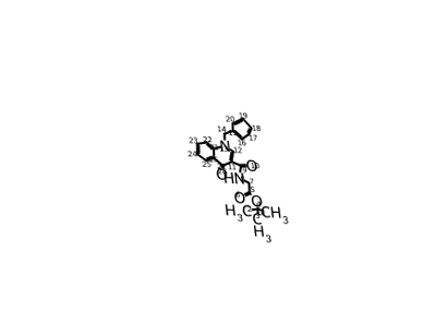 CC(C)(C)OC(=O)CNC(=O)c1cn(Cc2ccccc2)c2ccccc2c1=O